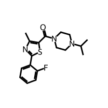 Cc1nc(-c2ccccc2F)sc1C(=O)N1CCN(C(C)C)CC1